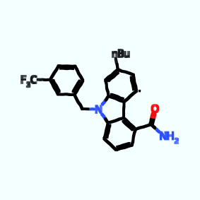 CCCCc1c[c]c2c3c(C(N)=O)cccc3n(Cc3cccc(C(F)(F)F)c3)c2c1